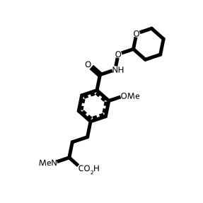 CNC(CCc1ccc(C(=O)NOC2CCCCO2)c(OC)c1)C(=O)O